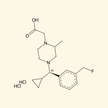 CC1CN([C@@H](c2cccc(CF)c2)C2CC2)CCN1CC(=O)O.Cl.Cl